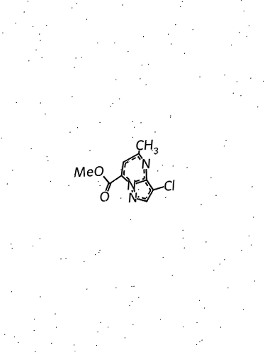 COC(=O)c1cc(C)nc2c(Cl)cnn12